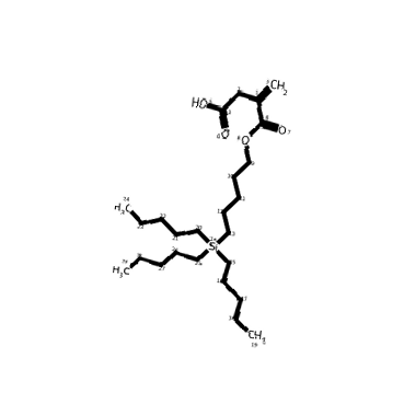 C=C(CC(=O)O)C(=O)OCCCCC[Si](CCCCC)(CCCCC)CCCCC